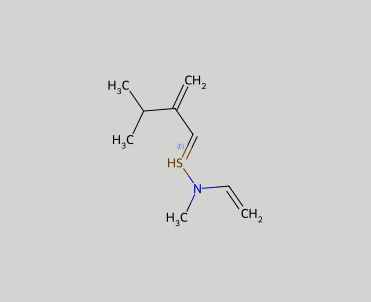 C=CN(C)/[SH]=C/C(=C)C(C)C